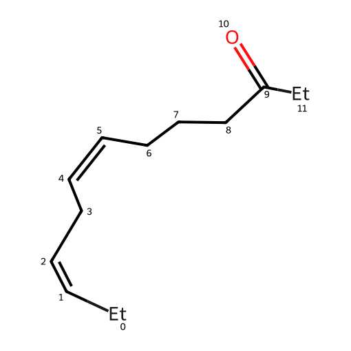 CC/C=C\C/C=C\CCCC(=O)CC